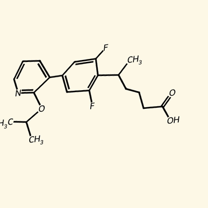 CC(C)Oc1ncccc1-c1cc(F)c(C(C)CCCC(=O)O)c(F)c1